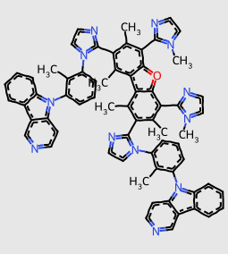 Cc1c(-n2ccnc2-c2c(C)c(-c3nccn3C)c3oc4c(-c5nccn5C)c(C)c(-c5nccn5-c5cccc(-n6c7ccccc7c7cnccc76)c5C)c(C)c4c3c2C)cccc1-n1c2ccccc2c2cnccc21